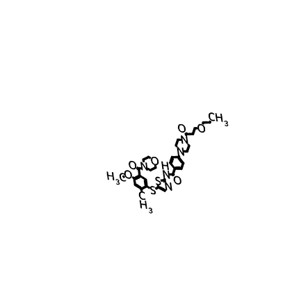 CCCOCCC(=O)N1CCN(c2ccc(C(=O)Nc3ncc(Sc4cc(C(=O)N5CCOCC5)c(OC)cc4C)s3)cc2)CC1